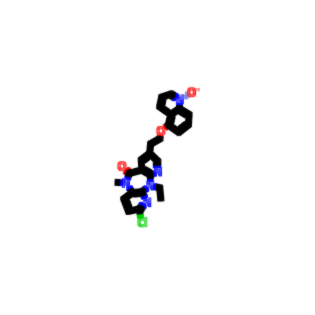 CCN1c2ncc(CCOc3cccc4c3ccc[n+]4[O-])cc2C(=O)N(C)c2ccc(Cl)nc21